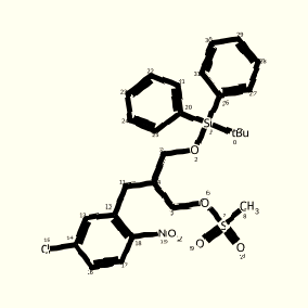 CC(C)(C)[Si](OCC(COS(C)(=O)=O)Cc1cc(Cl)ccc1[N+](=O)[O-])(c1ccccc1)c1ccccc1